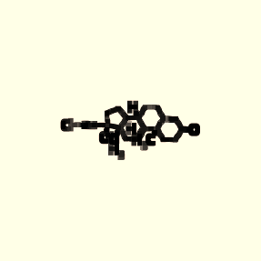 C[C@]12CCC(=O)C=C1CC[C@@H]1C2=CC[C@@]2(C)[C@H]1CC[C@@]2(O)C#CCl